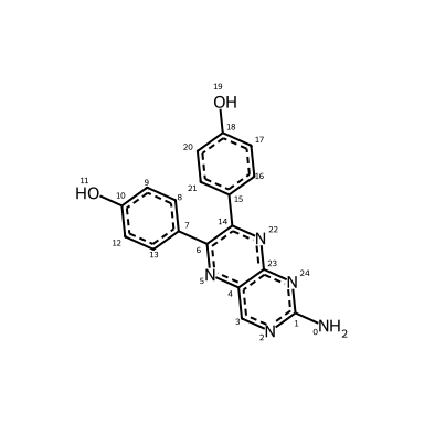 Nc1ncc2nc(-c3ccc(O)cc3)c(-c3ccc(O)cc3)nc2n1